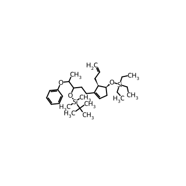 C=CC[C@@H]1C(CCC(O[Si](C)(C)C(C)(C)C)C(C)Oc2ccccc2)=CC[C@@H]1O[Si](CC)(CC)CC